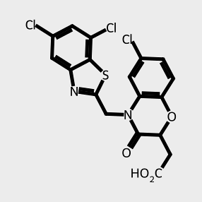 O=C(O)CC1Oc2ccc(Cl)cc2N(Cc2nc3cc(Cl)cc(Cl)c3s2)C1=O